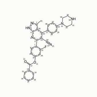 Cc1n[nH]c2nc(-c3ccc(OC(=O)c4ccccc4)cc3F)c(C#N)c(-c3ccc(N4CCNCC4)cc3)c12